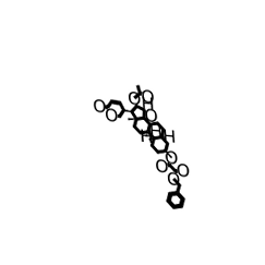 CC(=O)O[C@H]1[C@H]2O[C@]23[C@@H]2CC[C@@H]4C[C@@H](OC(=O)C(=O)OCc5ccccc5)CC[C@]4(C)[C@H]2CC[C@]3(C)[C@H]1C1C=CC(=O)OC1